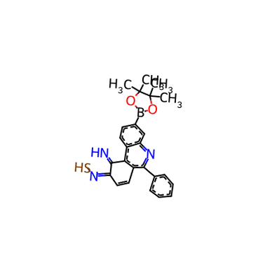 CC1(C)OB(c2ccc3c4c(c(-c5ccccc5)nc3c2)C=C/C(=N/S)C4=N)OC1(C)C